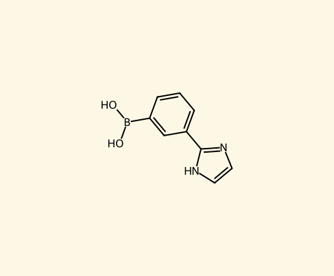 OB(O)c1cccc(-c2ncc[nH]2)c1